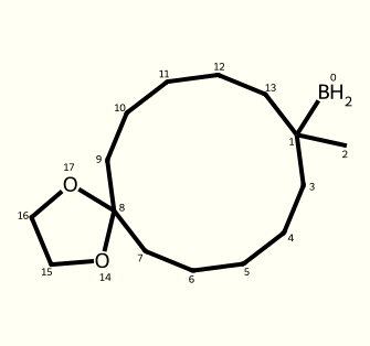 BC1(C)CCCCCC2(CCCCC1)OCCO2